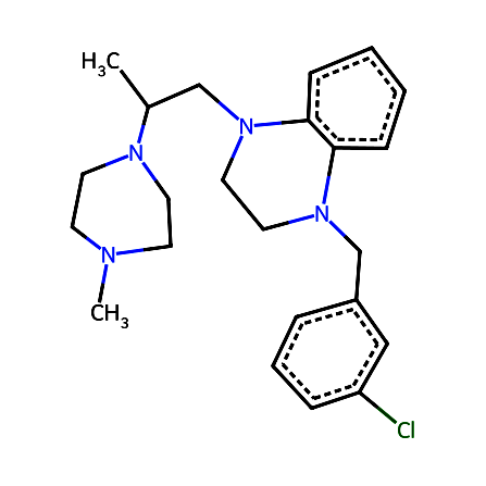 CC(CN1CCN(Cc2cccc(Cl)c2)c2ccccc21)N1CCN(C)CC1